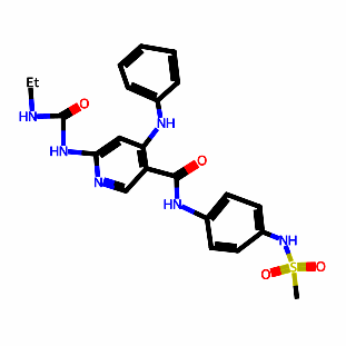 CCNC(=O)Nc1cc(Nc2ccccc2)c(C(=O)Nc2ccc(NS(C)(=O)=O)cc2)cn1